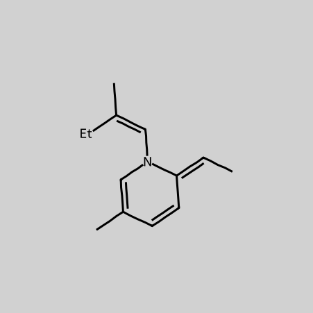 C/C=C1\C=CC(C)=CN1/C=C(/C)CC